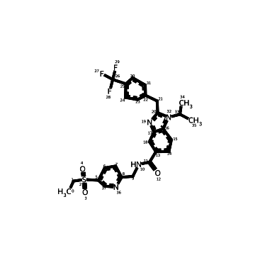 CCS(=O)(=O)c1ccc(CNC(=O)c2ccc3c(c2)nc(Cc2ccc(C(F)(F)F)cc2)n3C(C)C)nc1